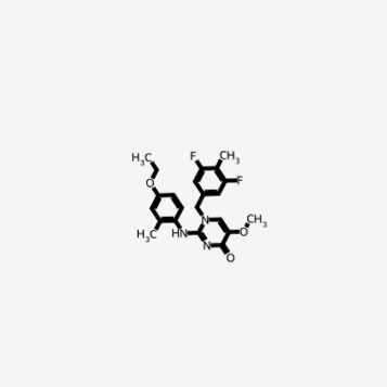 CCOc1ccc(Nc2nc(=O)c(OC)cn2Cc2cc(F)c(C)c(F)c2)c(C)c1